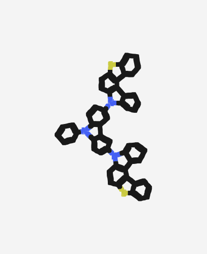 c1ccc(-n2c3ccc(-n4c5ccccc5c5c6c(ccc54)sc4ccccc46)cc3c3cc(-n4c5ccccc5c5c6c(ccc54)sc4ccccc46)ccc32)cc1